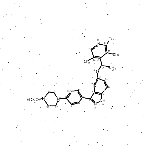 CCOC(=O)N1CCN(c2ccc(-c3n[nH]c4ccc(O[C@H](C)c5c(Cl)cnc(F)c5Cl)cc34)cn2)CC1